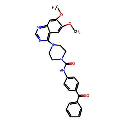 COc1cc2ncnc(N3CCN(C(=O)Nc4ccc(C(=O)c5ccccc5)cc4)CC3)c2cc1OC